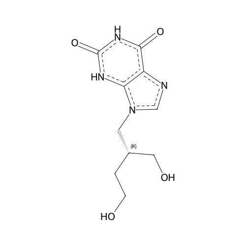 O=c1[nH]c(=O)c2ncn(C[C@H](CO)CCO)c2[nH]1